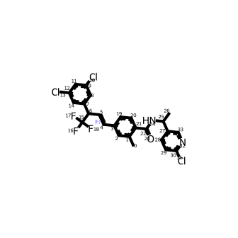 Cc1cc(/C=C/C(c2cc(Cl)cc(Cl)c2)C(F)(F)F)ccc1C(=O)NC(C)c1ccc(Cl)nc1